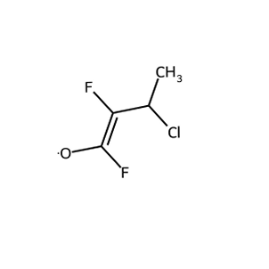 CC(Cl)/C(F)=C(/[O])F